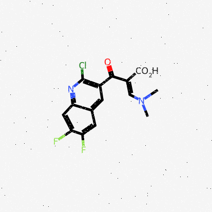 CN(C)C=C(C(=O)O)C(=O)c1cc2cc(F)c(F)cc2nc1Cl